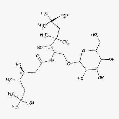 CCCCC(C)(C)CC(C)[C@@H](O)CC(=O)NC(COC1OC(CO)C(O)C(O)C1O)[C@H](O)C(C)(C)CC(C)(C)[C@H](C)CC